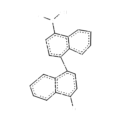 OB(O)c1ccc(-c2ccc(Br)c3ccccc23)c2ccccc12